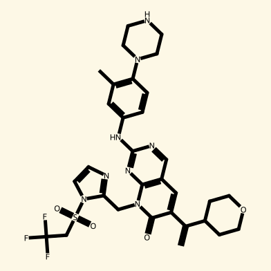 C=C(c1cc2cnc(Nc3ccc(N4CCNCC4)c(C)c3)nc2n(Cc2nccn2S(=O)(=O)CC(F)(F)F)c1=O)C1CCOCC1